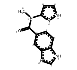 CN(C(=O)c1ccc2[nH]cnc2c1)c1cc[nH]n1